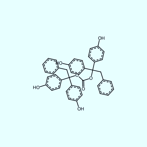 O=C(OC(Cc1ccccc1)(c1ccc(O)cc1)c1ccc(O)cc1)OC(Cc1ccccc1)(c1ccc(O)cc1)c1ccc(O)cc1